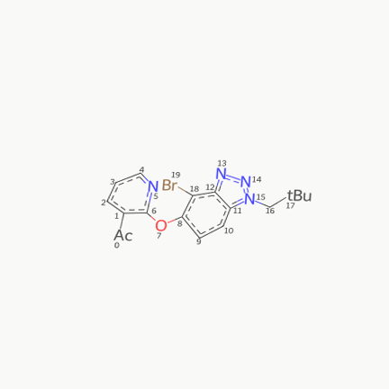 CC(=O)c1cccnc1Oc1ccc2c(nnn2CC(C)(C)C)c1Br